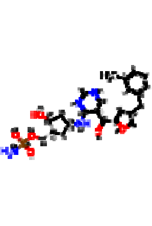 Cc1cccc(Cc2coc(C(=O)c3cncnc3N[C@@H]3C[C@H](COS(N)(=O)=O)[C@@H](O)C3)c2)c1